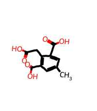 Cc1cc(C(=O)O)c(CC(=O)O)c(C(=O)O)c1